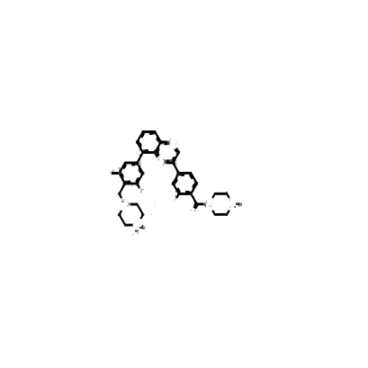 Cc1cc(-c2cnc3cccc(-c4cc(F)c(CN5CCS(=O)(=O)CC5)c(F)c4)c3n2)ccc1C(=O)N1CCN(C)CC1